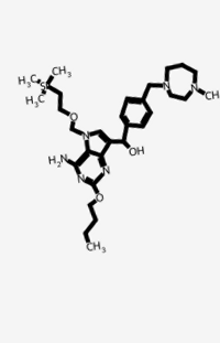 CCCCOc1nc(N)c2c(n1)c(C(O)c1ccc(CN3CCCN(C)CC3)cc1)cn2COCC[Si](C)(C)C